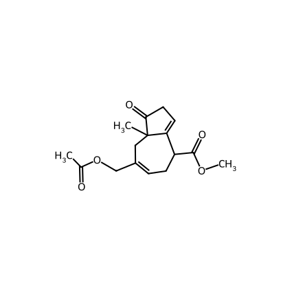 COC(=O)C1CC=C(COC(C)=O)CC2(C)C(=O)CC=C12